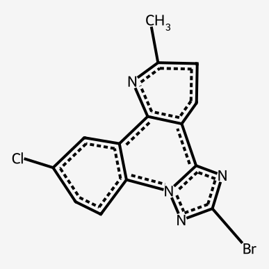 Cc1ccc2c(n1)c1cc(Cl)ccc1n1nc(Br)nc21